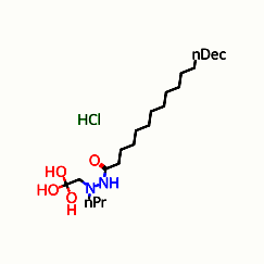 CCCCCCCCCCCCCCCCCCCCCC(=O)NN(CCC)CC(O)(O)O.Cl